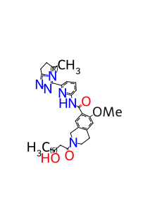 COc1cc2c(cc1C(=O)Nc1cccc(-c3nnc4n3[C@H](C)CC4)n1)CN(C(=O)C[C@H](C)O)CC2